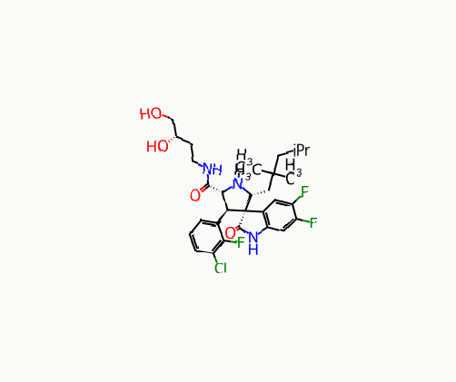 CC(C)CC(C)(C)C[C@H]1N(C)[C@@H](C(=O)NCC[C@H](O)CO)[C@H](c2cccc(Cl)c2F)[C@@]12C(=O)Nc1cc(F)c(F)cc12